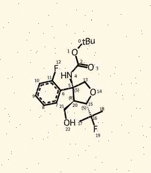 CC(C)(C)OC(=O)N[C@@]1(c2ccccc2F)CO[C@H](C(C)(C)F)[C@H]1CO